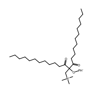 CCCCCCCCCCCC(=O)C(C[N+](C)(C)C)(O[PH-])C(=O)CCCCCCCCCCC